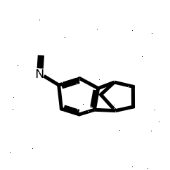 C=Nc1ccc2c(c1)C1CCC2C1